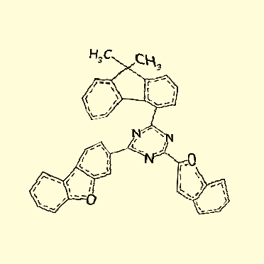 CC1(C)c2ccccc2-c2c(-c3nc(-c4ccc5c(c4)oc4ccccc45)nc(-c4cc5ccccc5o4)n3)cccc21